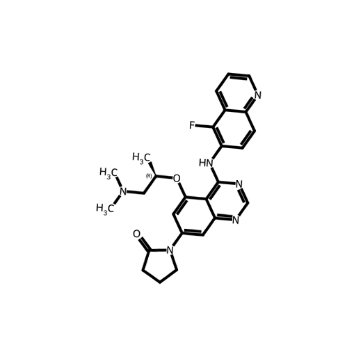 C[C@H](CN(C)C)Oc1cc(N2CCCC2=O)cc2ncnc(Nc3ccc4ncccc4c3F)c12